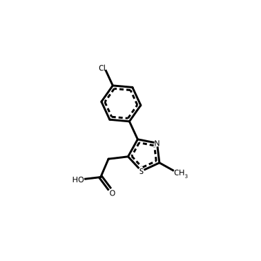 Cc1nc(-c2ccc(Cl)cc2)c(CC(=O)O)s1